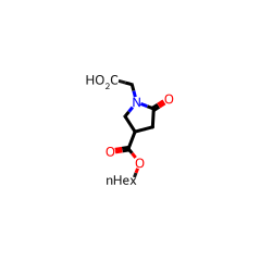 CCCCCCOC(=O)C1CC(=O)N(CC(=O)O)C1